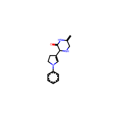 C=C1CNC(C2=CN(c3ccccc3)CC2)C(=O)N1